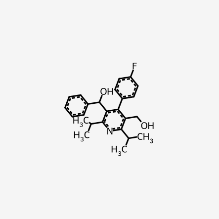 CC(C)c1nc(C(C)C)c(C(O)c2ccccc2)c(-c2ccc(F)cc2)c1CO